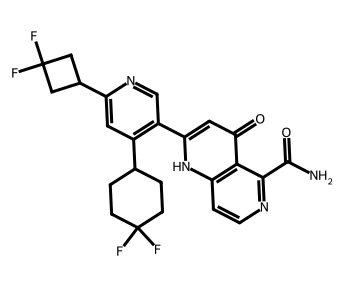 NC(=O)c1nccc2[nH]c(-c3cnc(C4CC(F)(F)C4)cc3C3CCC(F)(F)CC3)cc(=O)c12